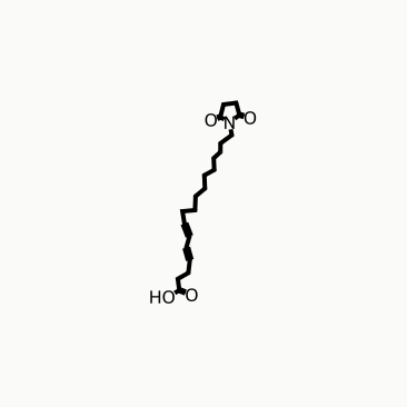 O=C(O)CCC#CC#CCCCCCCCCCCN1C(=O)CCC1=O